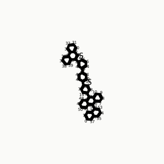 c1ccc2c(-c3c4ccccc4c(-c4ccc5c(c4)sc4cc(-c6ccc7sc8c9ccccc9c9ccccc9c8c7c6)ccc45)c4ccccc34)cccc2c1